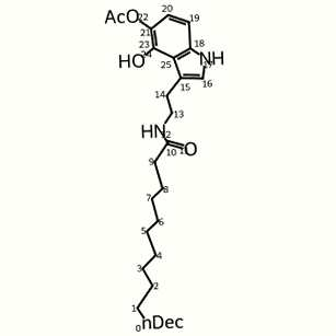 CCCCCCCCCCCCCCCCCCCC(=O)NCCc1c[nH]c2ccc(OC(C)=O)c(O)c12